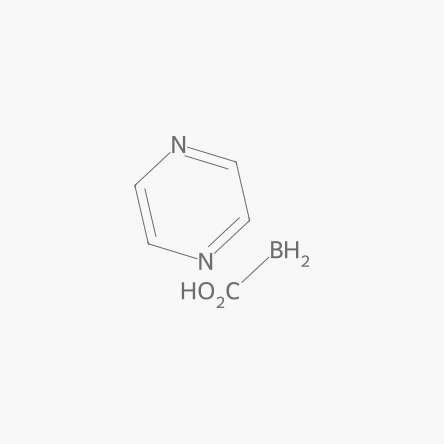 BC(=O)O.c1cnccn1